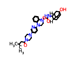 CC(C)CC(=O)N1CCN(c2ccc(N3CCN(OC(=O)NC4[C@@H]5CC6C[C@H]4CC(O)(C6)C5)c4ccccc43)nc2)CC1